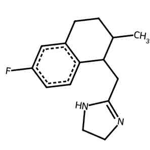 CC1CCc2cc(F)ccc2C1CC1=NCCN1